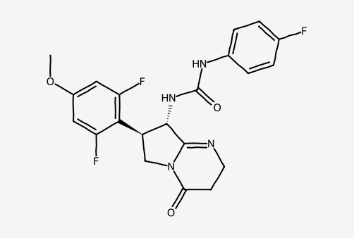 COc1cc(F)c([C@@H]2CN3C(=O)CCN=C3[C@H]2NC(=O)Nc2ccc(F)cc2)c(F)c1